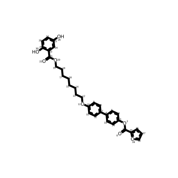 O=C(Oc1ccc(-c2ccc(OCCCCCCCCOC(=O)c3cc(O)ccc3O)cc2)cc1)c1ccco1